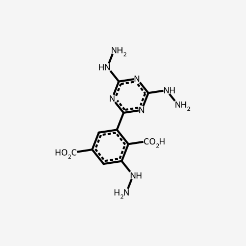 NNc1nc(NN)nc(-c2cc(C(=O)O)cc(NN)c2C(=O)O)n1